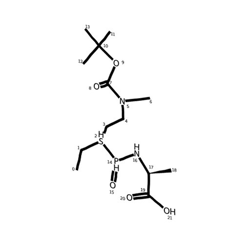 CC[SH](CCN(C)C(=O)OC(C)(C)C)[PH](=O)N[C@@H](C)C(=O)O